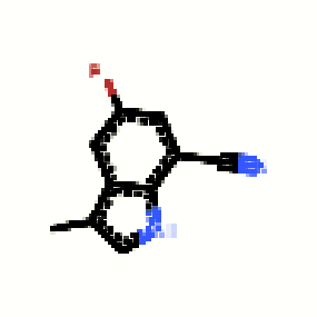 Cc1c[nH]c2c(C#N)cc(Br)cc12